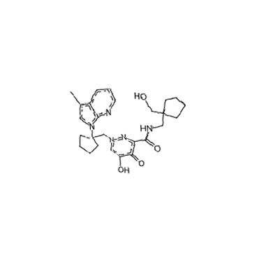 Cc1cn(C2(Cn3cc(O)c(=O)c(C(=O)NCC4(CO)CCCC4)n3)CCCC2)c2ncccc12